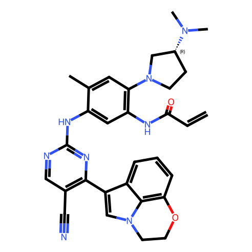 C=CC(=O)Nc1cc(Nc2ncc(C#N)c(-c3cn4c5c(cccc35)OCC4)n2)c(C)cc1N1CC[C@@H](N(C)C)C1